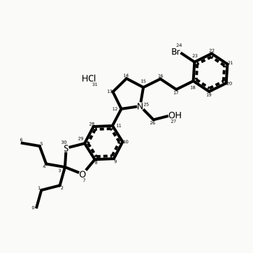 CCCC1(CCC)Oc2ccc(C3CCC(CCc4ccccc4Br)N3CO)cc2S1.Cl